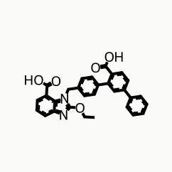 CCOc1nc2cccc(C(=O)O)c2n1Cc1ccc(-c2cc(-c3ccccc3)ccc2C(=O)O)cc1